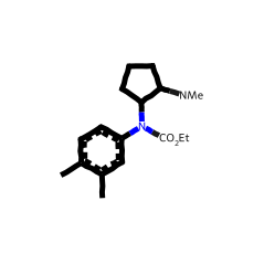 CCOC(=O)N(c1ccc(C)c(C)c1)C1CCCC1NC